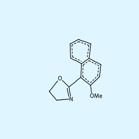 COc1ccc2ccccc2c1C1=NCCO1